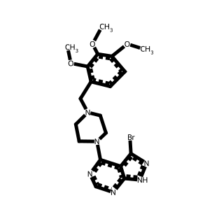 COc1ccc(CN2CCN(c3ncnc4[nH]nc(Br)c34)CC2)c(OC)c1OC